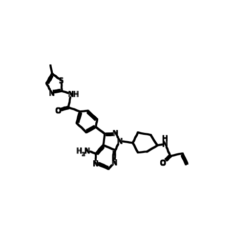 C=CC(=O)NC1CCC(n2nc(-c3ccc(C(=O)Nc4ncc(C)s4)cc3)c3c(N)ncnc32)CC1